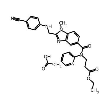 CC(=O)O.CCOC(=O)CCN(C(=O)c1ccc2c(c1)nc(CNc1ccc(C#N)cc1)n2C)c1ccccn1